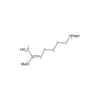 CCCCCCCCCCCC=C(OC)C(=O)O